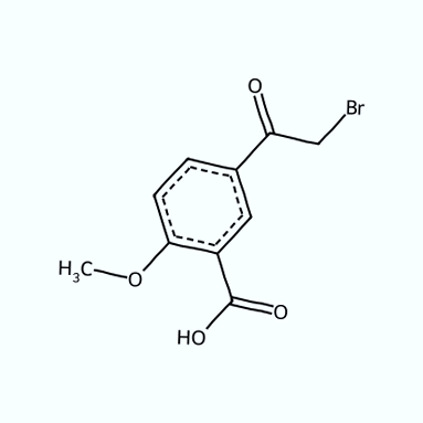 COc1ccc(C(=O)CBr)cc1C(=O)O